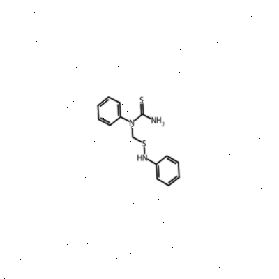 NC(=S)N(CSNc1ccccc1)c1ccccc1